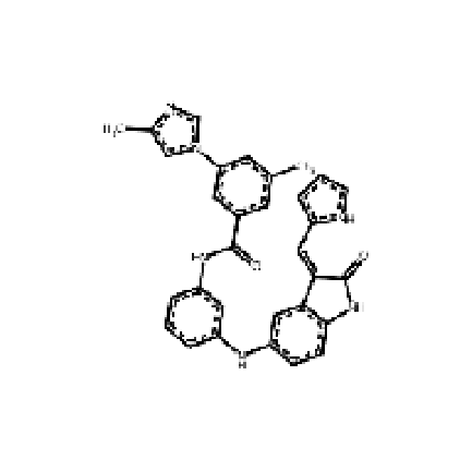 Cc1cn(-c2cc(C(=O)Nc3cccc(Nc4ccc5c(c4)C(=Cc4ccc[nH]4)C(=O)N5)c3)cc(C(F)(F)F)c2)cn1